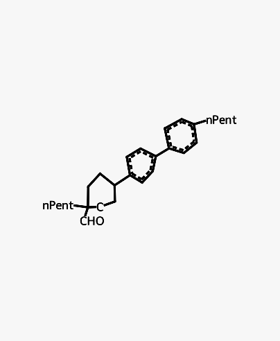 CCCCCc1ccc(-c2ccc(C3CCC(C=O)(CCCCC)CC3)cc2)cc1